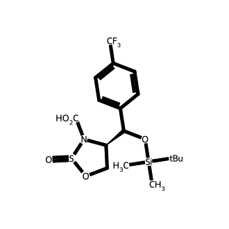 CC(C)(C)[Si](C)(C)OC(c1ccc(C(F)(F)F)cc1)[C@H]1COS(=O)N1C(=O)O